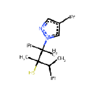 CC(C)c1cnn(C(C)(C(C)C)C(C)(S)C(C)C(C)C)c1